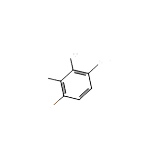 COc1c(NC(C)=O)ccc(Br)c1C(F)(F)F